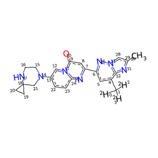 [2H]C([2H])([2H])c1cc(-c2cc(=O)n3cc(N4CCNC5(CC5)C4)ccc3n2)nn2cc(C)nc12